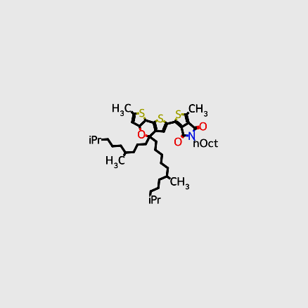 CCCCCCCCN1C(=O)c2c(C)sc(-c3cc4c(s3)C3SC(C)=CC3OC4(CCCCCC(C)CCCC(C)C)CCCC(C)CCCC(C)C)c2C1=O